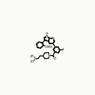 CCN(CCC1CCN(C(=O)c2cc(F)cc(-c3cnc4[nH]cc(-c5ccccc5OC)c4c3)c2)CC1)C(C)C